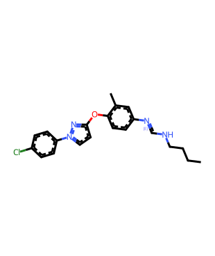 CCCCN/C=N/c1ccc(Oc2ccn(-c3ccc(Cl)cc3)n2)c(C)c1